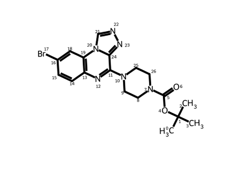 CC(C)(C)OC(=O)N1CCN(c2nc3ccc(Br)cc3n3cnnc23)CC1